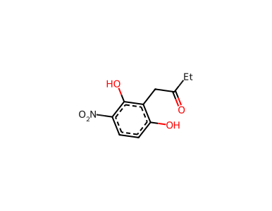 CCC(=O)Cc1c(O)ccc([N+](=O)[O-])c1O